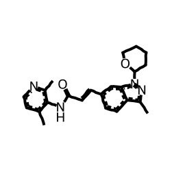 Cc1ccnc(C)c1NC(=O)/C=C/c1ccc2c(C)nn(C3CCCCO3)c2c1